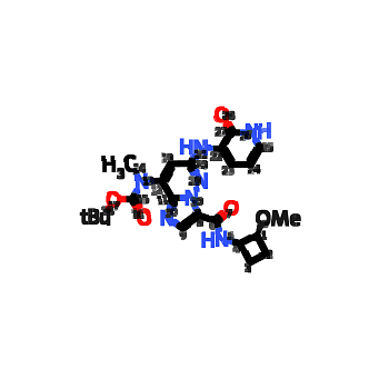 CO[C@H]1CCC1NC(=O)c1cnc2c(N(C)C(=O)OC(C)(C)C)cc(Nc3ccc[nH]c3=O)nn12